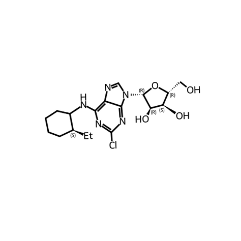 CC[C@H]1CCCCC1Nc1nc(Cl)nc2c1ncn2[C@@H]1O[C@H](CO)[C@@H](O)[C@H]1O